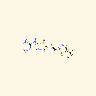 C[Si](C)(C)c1cnc(/C=C/c2cnc(Nc3ncccn3)s2)o1